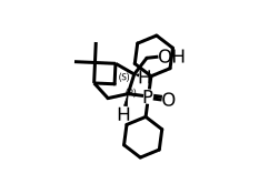 CC1(C)C2CC1[C@@H](CO)[C@H](P(=O)(C1CCCCC1)C1CCCCC1)C2